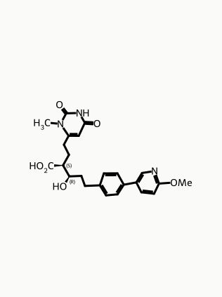 COc1ccc(-c2ccc(CC[C@@H](O)[C@H](CCc3cc(=O)[nH]c(=O)n3C)C(=O)O)cc2)cn1